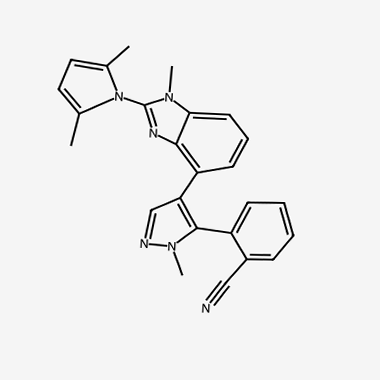 Cc1ccc(C)n1-c1nc2c(-c3cnn(C)c3-c3ccccc3C#N)cccc2n1C